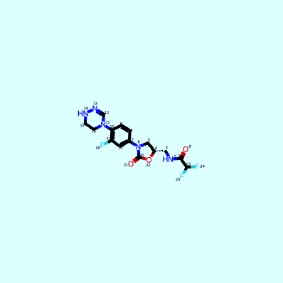 O=C(NC[C@H]1CN(c2ccc(N3C=NNCC3)c(F)c2)C(=O)O1)C(F)F